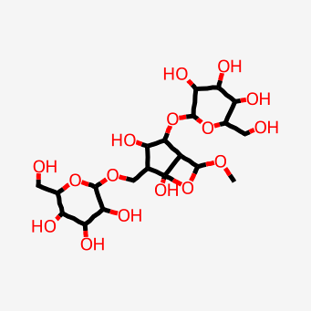 COC1OC2(O)C(COC3OC(CO)C(O)C(O)C3O)C(O)C(OC3OC(CO)C(O)C(O)C3O)C12